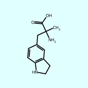 CC(N)(Cc1ccc2c(c1)CCN2)C(=O)O